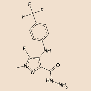 Cn1nc(C(=O)NN)c(Nc2ccc(C(F)(F)F)cc2)c1F